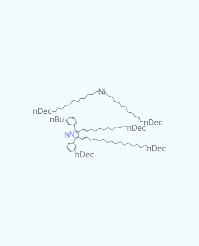 CCCCCCCCCCCCCCCCCCCC=CC1=C(c2cccc(CCCC)c2)[N+](=[N-])C(c2cccc(CCCCCCCCCC)c2)=C1C=CCCCCCCCCCCCCCCCCCCCCCCCC.CCCCCCCCCCCCCCCCCCCCC[CH2][Ni][CH2]CCCCCCCCCCCCCCCCCCCCC